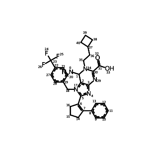 NC1c2c(nc(C3=C(c4ccccc4)CCC3)n2Cc2ccc(C(F)(F)F)cc2)N=C(C(=O)O)N1CCC1CCC1